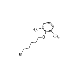 Cc1cccc(C)c1OCCCCCBr